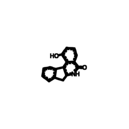 O=c1[nH]c2c(c3c(O)cccc13)-c1ccccc1C2